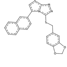 c1ccc2cc(-c3csc4nnc(SCc5ccc6c(c5)OCO6)n34)ccc2c1